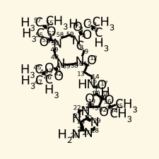 CC(C)(C)OC(=O)N1CCN(C(=O)CCNC(=O)[C@H]2O[C@@H](n3cnc4c(N)ncnc43)C3OC(C)(C)O[C@H]32)CCN(C(=O)OC(C)(C)C)CCN(C(=O)OC(C)(C)C)CC1